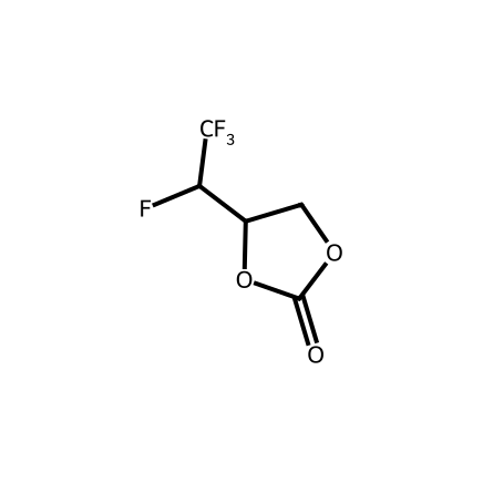 O=C1OCC(C(F)C(F)(F)F)O1